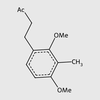 COc1ccc(CCC(C)=O)c(OC)c1C